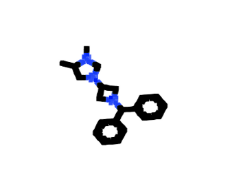 CC1CN(C2CN(C(c3ccccc3)c3ccccc3)C2)CN1C